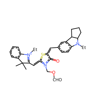 CCN1c2ccc(/C=c3/s/c(=C\C4=[N+](CC)c5ccccc5C4(C)C)n(COC=O)c3=O)cc2C2CCCC21